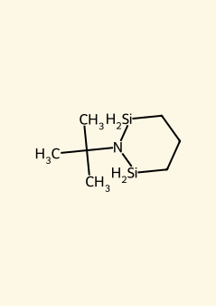 CC(C)(C)N1[SiH2]CCC[SiH2]1